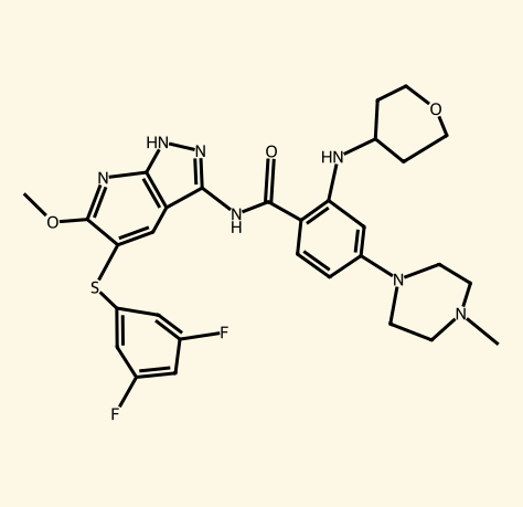 COc1nc2[nH]nc(NC(=O)c3ccc(N4CCN(C)CC4)cc3NC3CCOCC3)c2cc1Sc1cc(F)cc(F)c1